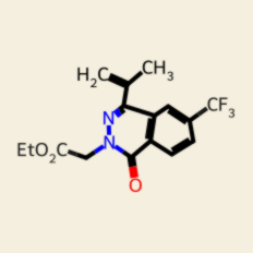 C=C(C)c1nn(CC(=O)OCC)c(=O)c2ccc(C(F)(F)F)cc12